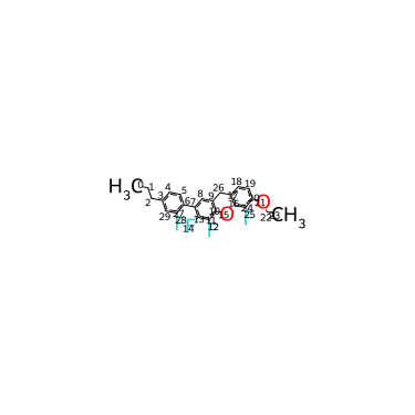 CCCc1ccc(-c2cc3c(c(F)c2F)Oc2c(ccc(OCC)c2F)C3)c(F)c1